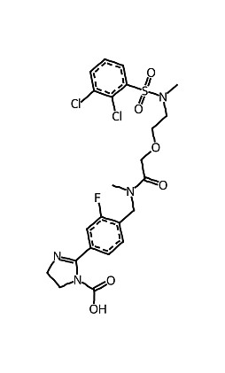 CN(Cc1ccc(C2=NCCN2C(=O)O)cc1F)C(=O)COCCN(C)S(=O)(=O)c1cccc(Cl)c1Cl